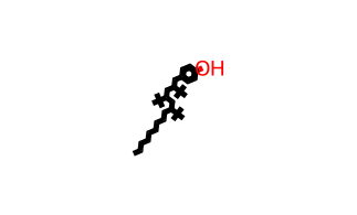 CCCCCCCCCC(CC(CC(Cc1ccc(O)cc1)C(C)(C)C)C(C)(C)C)C(C)(C)C